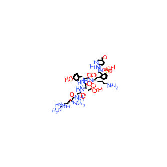 N=C(N)NCCC[C@H](N)C(=O)NCC(=O)N[C@@H](CC(=O)O)C(=O)N[C@H](Cc1ccc(O)cc1)C(=O)N[C@@H](CCCCN)C(=O)c1cccc(S(=O)(=O)O)c1C=NNc1ccc(C=O)cn1